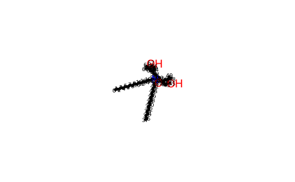 CCCCCCCCCCCCCCCCCCN(C(=O)CCCCCCCCCCCCCCCCC)C(CCc1ccc(O)c(C(C)C)c1)CCc1ccc(O)c(C(C)C)c1